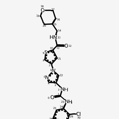 O=C(Nc1cnn(-c2csc(C(=O)NCC3CCOCC3)c2)c1)Nc1ccccc1Cl